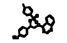 Cc1ccc(S(=O)(=O)OC(COc2ncnc3ccccc23)c2ccc(C(C)(C)C)cc2)cc1